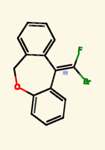 F/C(Br)=C1\c2ccccc2COc2ccccc21